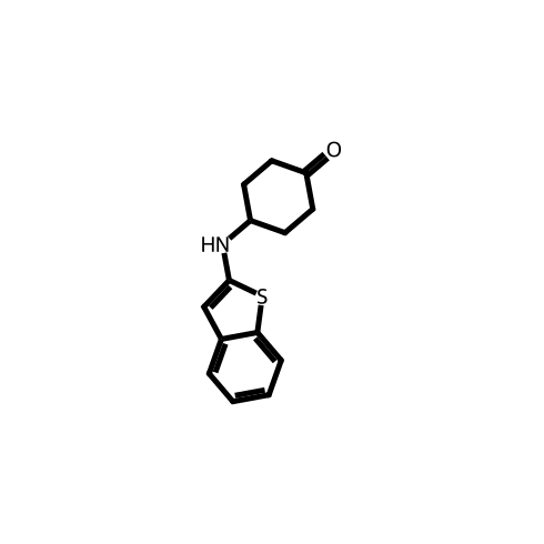 O=C1CCC(Nc2cc3ccccc3s2)CC1